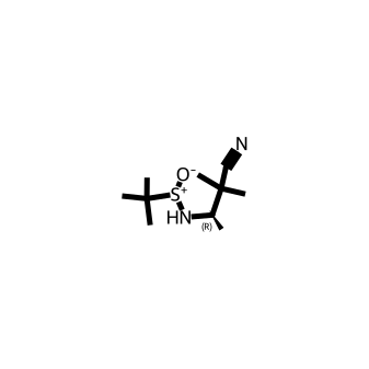 C[C@@H](N[S+]([O-])C(C)(C)C)C(C)(C)C#N